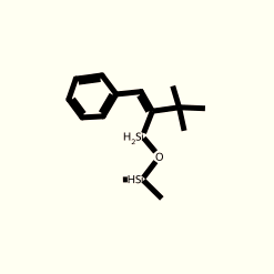 C[SiH](C)O[SiH2]C(=Cc1ccccc1)C(C)(C)C